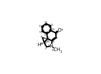 CN1C[C@H]2C[C@@]23C1=CC(=O)c1ccccc13